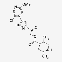 COc1cc(-c2cc(C(=O)COC(=O)C3CC(C)NCC3C)n[nH]2)c(Cl)cn1